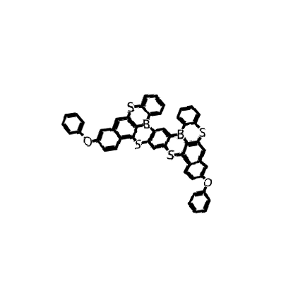 c1ccc(Oc2ccc3c4c5c(cc3c2)Sc2ccccc2B5c2cc3c(cc2S4)Sc2c4c(cc5cc(Oc6ccccc6)ccc25)Sc2ccccc2B34)cc1